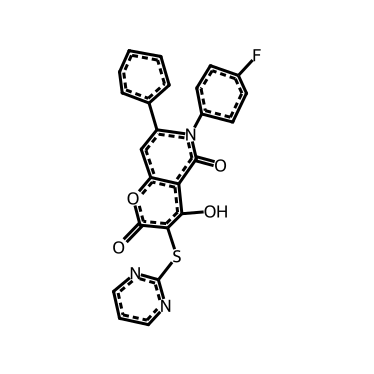 O=c1oc2cc(-c3ccccc3)n(-c3ccc(F)cc3)c(=O)c2c(O)c1Sc1ncccn1